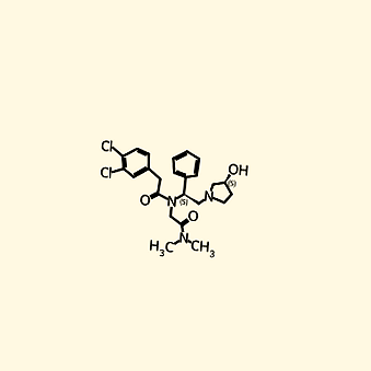 CN(C)C(=O)CN(C(=O)Cc1ccc(Cl)c(Cl)c1)[C@H](CN1CC[C@H](O)C1)c1ccccc1